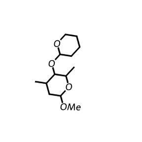 COC1CC(C)C(OC2CCCCO2)C(C)O1